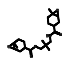 CC(C)(CNC(=O)C1CCC2(C)OC2C1)COC(=O)C1CCC2(C)OC2C1